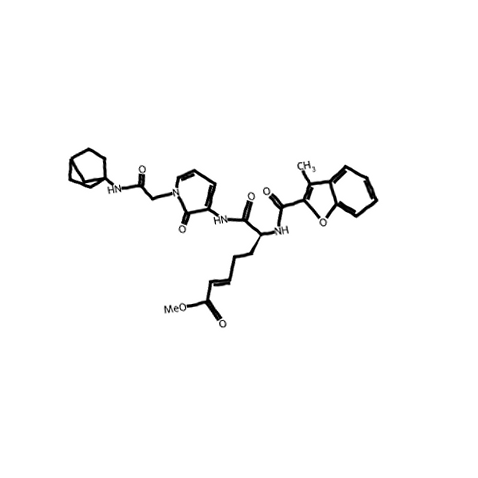 COC(=O)/C=C/CC[C@H](NC(=O)c1oc2ccccc2c1C)C(=O)Nc1cccn(CC(=O)NC23CCC(CC2)C3)c1=O